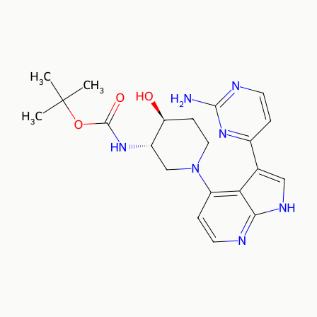 CC(C)(C)OC(=O)N[C@H]1CN(c2ccnc3[nH]cc(-c4ccnc(N)n4)c23)CC[C@@H]1O